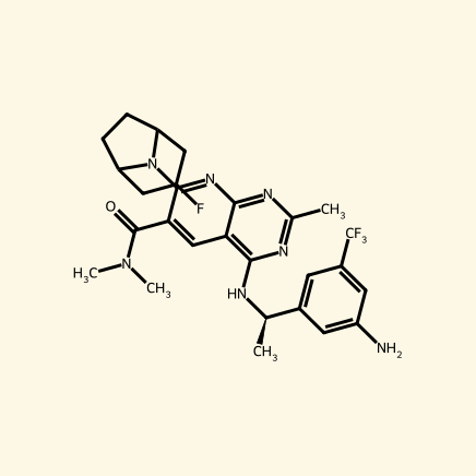 Cc1nc(N[C@H](C)c2cc(N)cc(C(F)(F)F)c2)c2cc(C(=O)N(C)C)c(N3C4CCC3CC(F)C4)nc2n1